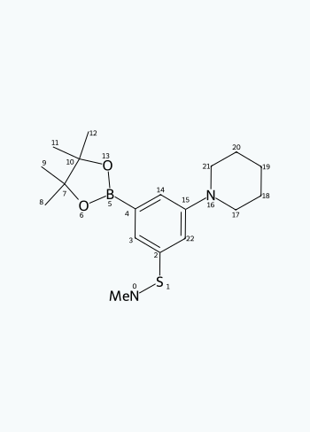 CNSc1cc(B2OC(C)(C)C(C)(C)O2)cc(N2CCCCC2)c1